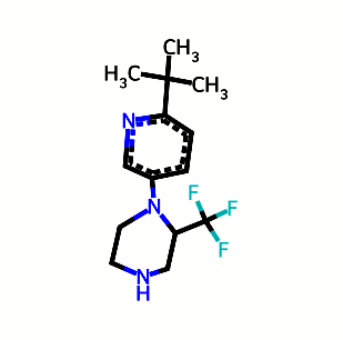 CC(C)(C)c1ccc(N2CCNCC2C(F)(F)F)cn1